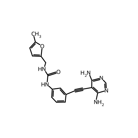 Cc1ccc(CNC(=O)Nc2cccc(C#Cc3c(N)ncnc3N)c2)o1